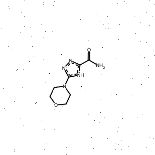 NC(=O)c1nnc(N2CCOCC2)[nH]1